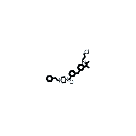 Cc1c(C)n(CCCCl)c2ccc(Cc3cccc(C(=O)N4CCN(CCc5ccccc5)CC4)c3)cc12